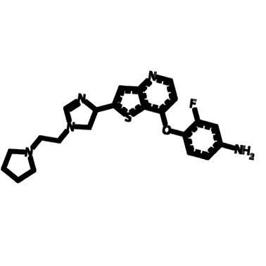 Nc1ccc(Oc2ccnc3cc(C4CN(CCN5CCCC5)C=N4)sc23)c(F)c1